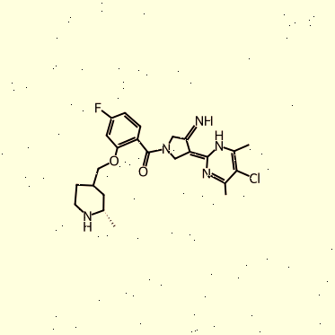 CC1=N/C(=C2\CN(C(=O)c3ccc(F)cc3OCC3CCN[C@@H](C)C3)CC2=N)NC(C)=C1Cl